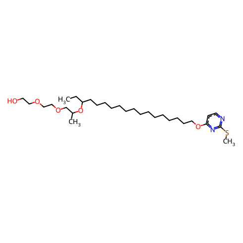 CCC(CCCCCCCCCCCCCCCOc1ccnc(SC)n1)OC(C)COCCOCCO